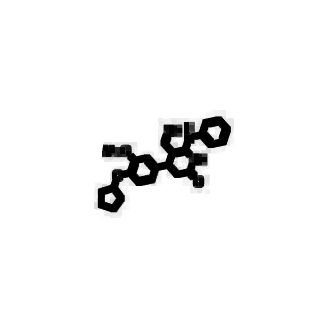 COc1cc(C2CC(=O)NC(Nc3ccccc3)=C2C=N)ccc1OC1CCCC1